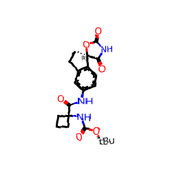 CC(C)(C)OC(=O)NC1(C(=O)Nc2ccc3c(c2)CC[C@@]32OC(=O)NC2=O)CCC1